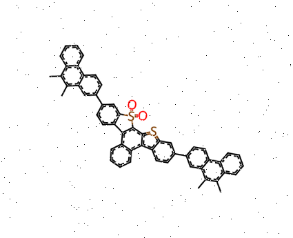 Cc1c(C)c2cc(-c3ccc4c(c3)S(=O)(=O)c3c-4c4ccccc4c4c3sc3cc(-c5ccc6c(c5)c(C)c(C)c5ccccc56)ccc34)ccc2c2ccccc12